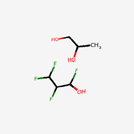 CC(O)CO.OC(F)C(F)C(F)F